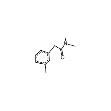 Cc1cccc(CC(=O)N(C)C)c1